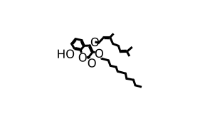 CCCCCCCCCCOc1c(OCC=C(C)CCC=C(C)C)c2cccc(O)c2oc1=O